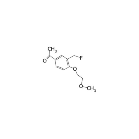 COCCOc1ccc(C(C)=O)cc1CF